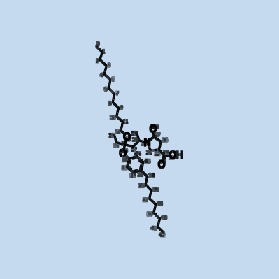 CCCCCCCCCCCCCOC(CC)(CC(C)N1CC(C(=O)O)CC1=O)Oc1ccc(CCCCCCCCC)cc1